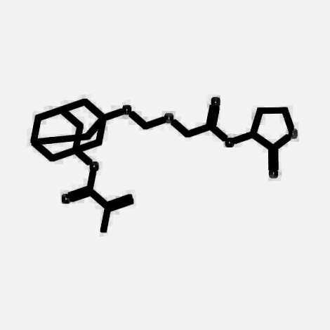 C=C(C)C(=O)OC12CC3CC(CC(OCOCC(=O)OC4CCOC4=O)(C3)C1)C2